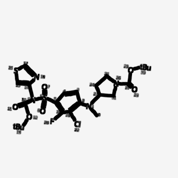 CN(c1ccc(S(=O)(=O)N(C(=O)OC(C)(C)C)c2cscn2)c(F)c1Cl)C1CCN(C(=O)OC(C)(C)C)C1